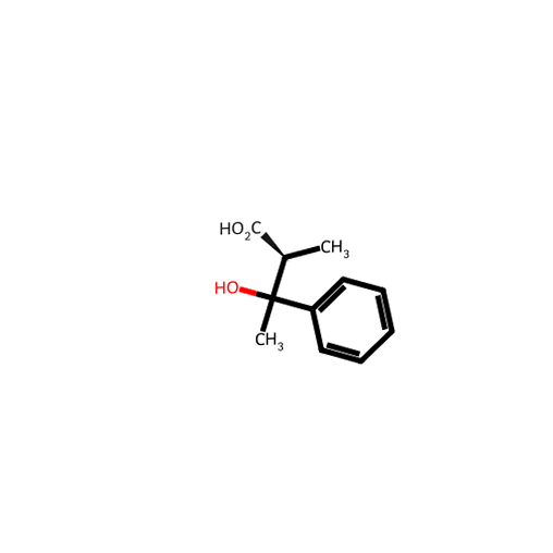 C[C@H](C(=O)O)C(C)(O)c1ccccc1